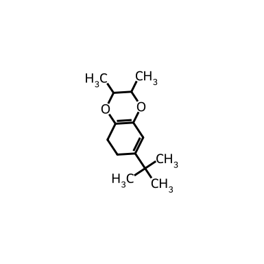 CC1OC2=C(CCC(C(C)(C)C)=C2)OC1C